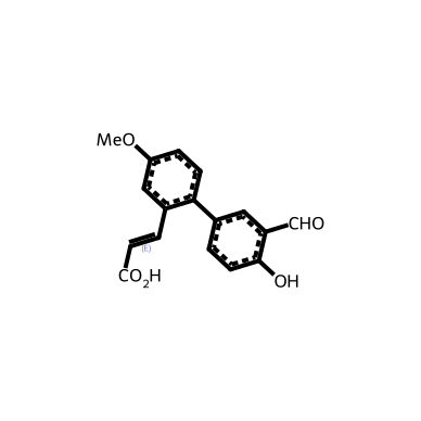 COc1ccc(-c2ccc(O)c(C=O)c2)c(/C=C/C(=O)O)c1